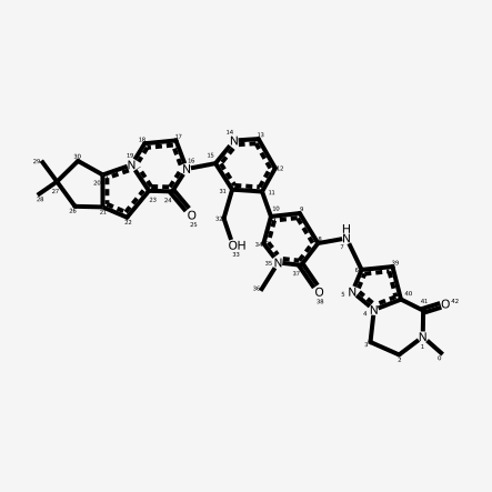 CN1CCn2nc(Nc3cc(-c4ccnc(-n5ccn6c7c(cc6c5=O)CC(C)(C)C7)c4CO)cn(C)c3=O)cc2C1=O